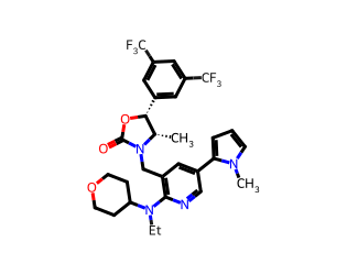 CCN(c1ncc(-c2cccn2C)cc1CN1C(=O)O[C@H](c2cc(C(F)(F)F)cc(C(F)(F)F)c2)[C@@H]1C)C1CCOCC1